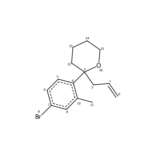 C=CCC1(c2ccc(Br)cc2C)CCCCO1